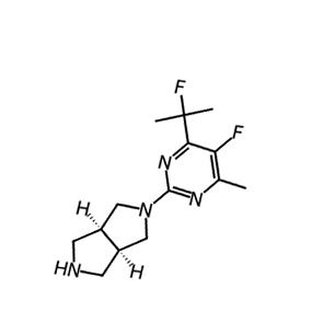 Cc1nc(N2C[C@H]3CNC[C@H]3C2)nc(C(C)(C)F)c1F